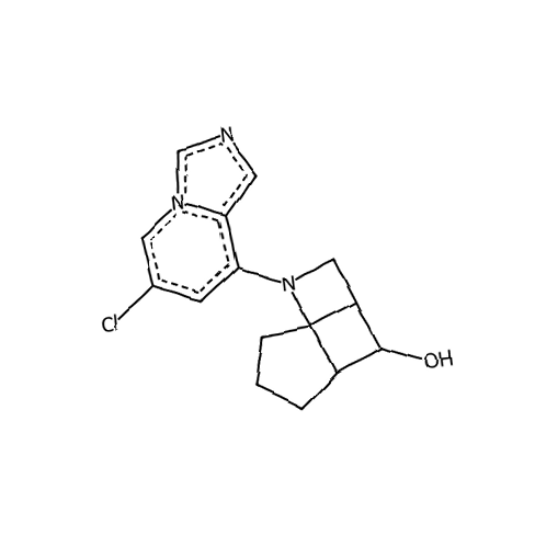 OC1C2CCCC23C1CN3c1cc(Cl)cn2cncc12